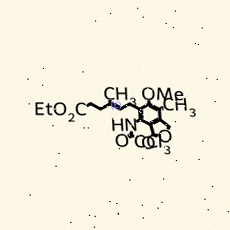 CCOC(=O)CC/C(C)=C/Cc1c(NC(=O)C(Cl)(Cl)Cl)c2c(c(C)c1OC)COC2=O